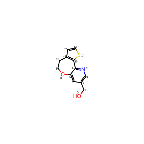 OCc1cnc2c(c1)OCCc1ccsc1-2